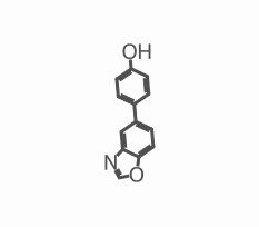 Oc1ccc(-c2ccc3ocnc3c2)cc1